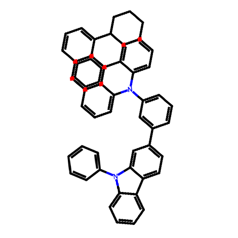 c1ccc(-n2c3ccccc3c3ccc(-c4cccc(N(c5ccccc5-c5cccc6cccc(C7CCCCC7)c56)c5cccc6ccccc56)c4)cc32)cc1